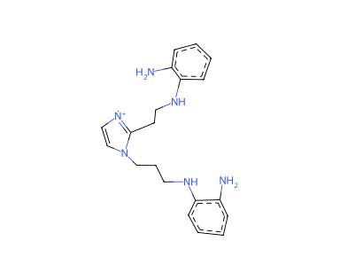 Nc1ccccc1NCCCN1C=C[N+]=C1CCNc1ccccc1N